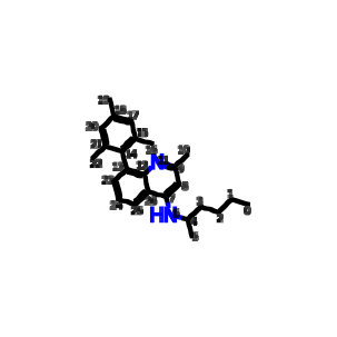 CCCCC(C)Nc1cc(C)nc2c(-c3c(C)cc(C)cc3C)cccc12